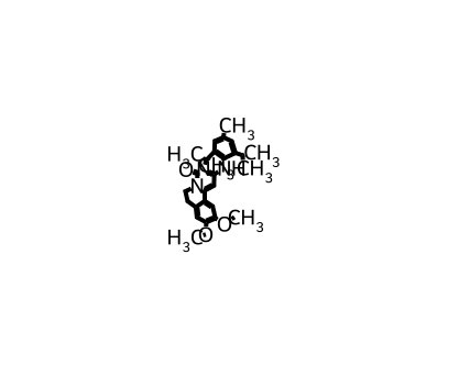 COc1cc2c(cc1OC)-c1cc(Nc3c(C(C)C)cc(C)cc3C(C)C)nc(=O)n1CC2